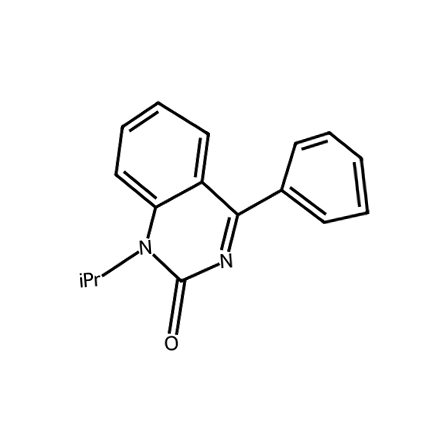 CC(C)n1c(=O)nc(-c2ccccc2)c2ccccc21